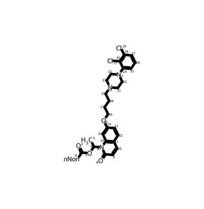 CCCCCCCCCC(=O)OC(C)n1c(=O)ccc2ccc(OCCCCN3CCN(c4cccc(Cl)c4Cl)CC3)cc21